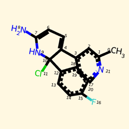 Cc1cc(C2=CC=C(N)NC2(Cl)c2ccc(F)cc2)ccn1